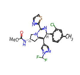 COC(=O)N[C@H]1CC2=C(c3cnn(C(F)F)c3)[C@H](c3ccc(C)cc3Cl)N=C(c3nccs3)N2C1